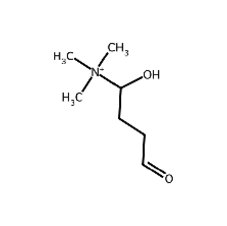 C[N+](C)(C)C(O)CCC=O